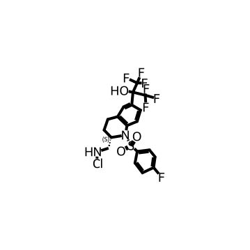 O=S(=O)(c1ccc(F)cc1)N1c2ccc(C(O)(C(F)(F)F)C(F)(F)F)cc2CC[C@H]1CNCl